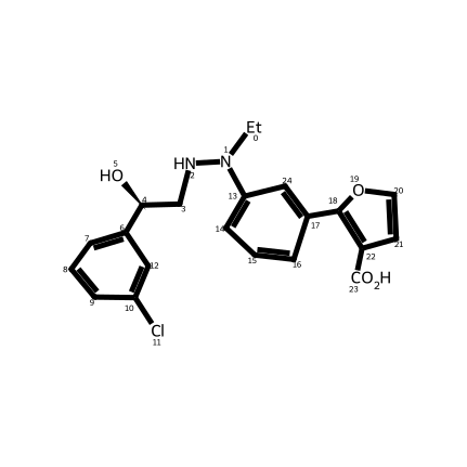 CCN(NC[C@H](O)c1cccc(Cl)c1)c1cccc(-c2occc2C(=O)O)c1